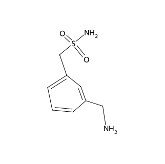 NCc1cccc(CS(N)(=O)=O)c1